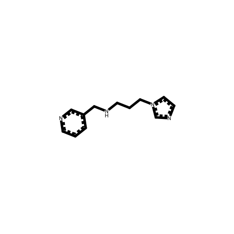 c1cncc(CNCCCn2ccnc2)c1